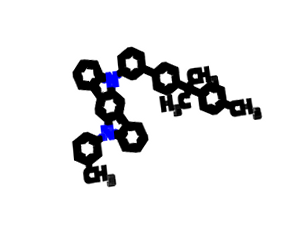 Cc1ccc(C(C)(C)c2ccc(-c3cccc(-n4c5ccccc5c5cc6c(cc54)c4ccccc4n6-c4cccc(C)c4)c3)cc2)cc1